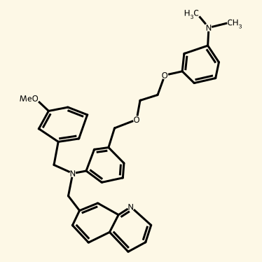 COc1cccc(CN(Cc2ccc3cccnc3c2)c2cccc(COCCOc3cccc(N(C)C)c3)c2)c1